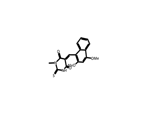 COc1cc(OC)c2ccccc2c1/C=C1\C(=O)NC(=S)N(C)C1=O